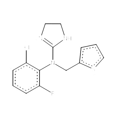 Fc1cccc(C(F)(F)F)c1N(Cc1cccs1)C1=NCCN1